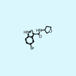 O=C(NC1CCOC1)c1n[nH]c2ccc(Br)cc12